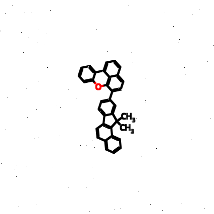 CC1(C)c2cc(-c3ccc4cccc5c4c3Oc3ccccc3-5)ccc2-c2ccc3ccccc3c21